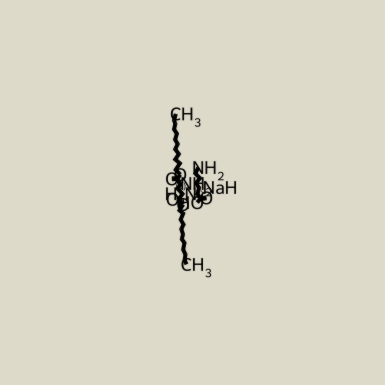 CCCCCCCCCCCCOC(=O)CC[C@H](N)C(=O)OCCCCCCCCCCCC.NCCCC[C@H](N)C(=O)O.[NaH]